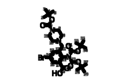 CC(C)(C)OC(=O)N1CCN(Cc2cc(Br)cc(C(=O)O)c2N(C(=O)OC(C)(C)C)C(=O)OC(C)(C)C)CC1